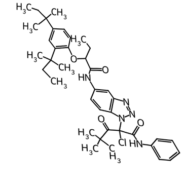 CCC(Oc1ccc(C(C)(C)CC)cc1C(C)(C)CC)C(=O)Nc1ccc2c(c1)nnn2C(Cl)(C(=O)Nc1ccccc1)C(=O)C(C)(C)C